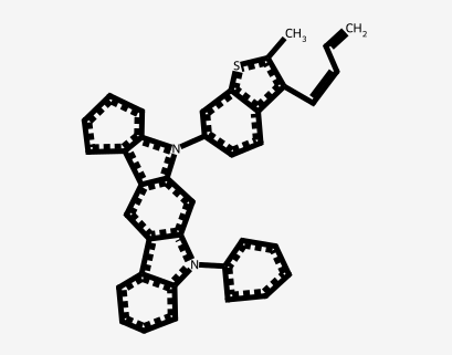 C=C/C=C\c1c(C)sc2cc(-n3c4ccccc4c4cc5c6ccccc6n(-c6ccccc6)c5cc43)ccc12